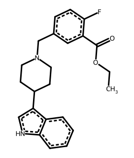 CCOC(=O)c1cc(CN2CCC(c3c[nH]c4ccccc34)CC2)ccc1F